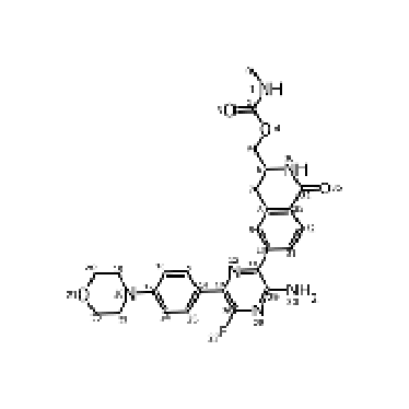 CNC(=O)OCC1Cc2cc(-c3nc(-c4ccc(N5CCOCC5)cc4)c(F)nc3N)ccc2C(=O)N1